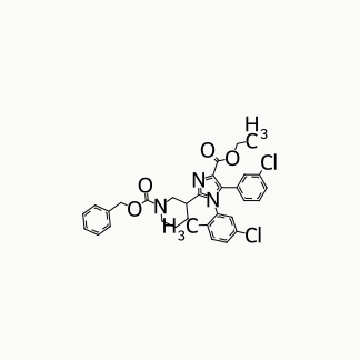 CCOC(=O)c1nc(C2CCCN(C(=O)OCc3ccccc3)C2)n(-c2cc(Cl)ccc2C)c1-c1cccc(Cl)c1